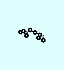 c1cc(-c2ccc(-c3ccc4c5c(cccc35)-c3ccccc3S4)cc2)cc(-n2c3ccccc3c3c4ccccc4ccc32)c1